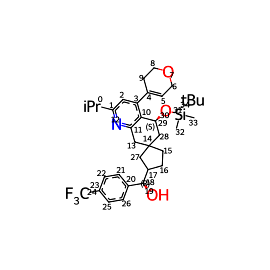 CC(C)c1cc(C2=CCOCC2)c2c(n1)CC1(CCC([C@@H](O)c3ccc(C(F)(F)F)cc3)C1)C[C@@H]2O[Si](C)(C)C(C)(C)C